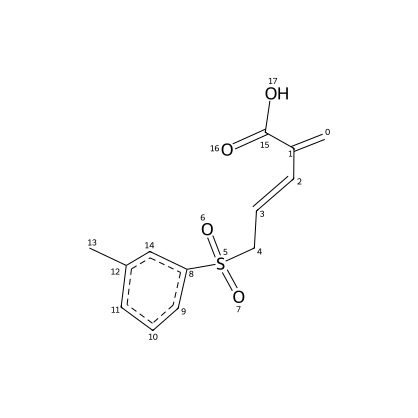 C=C(C=CCS(=O)(=O)c1cccc(C)c1)C(=O)O